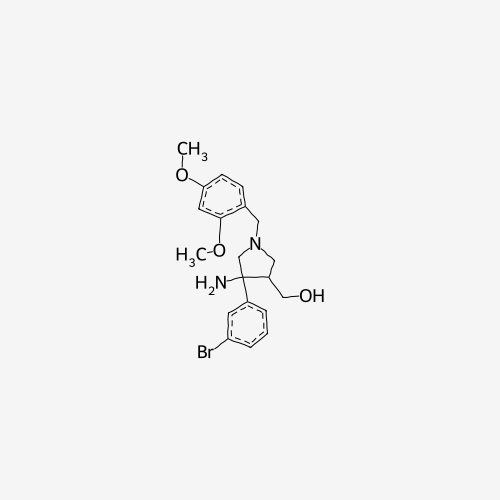 COc1ccc(CN2CC(CO)C(N)(c3cccc(Br)c3)C2)c(OC)c1